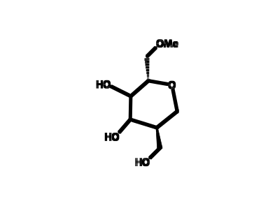 COC[C@@H]1OC[C@@H](CO)C(O)C1O